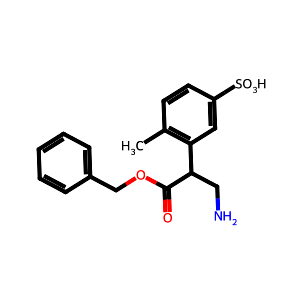 Cc1ccc(S(=O)(=O)O)cc1C(CN)C(=O)OCc1ccccc1